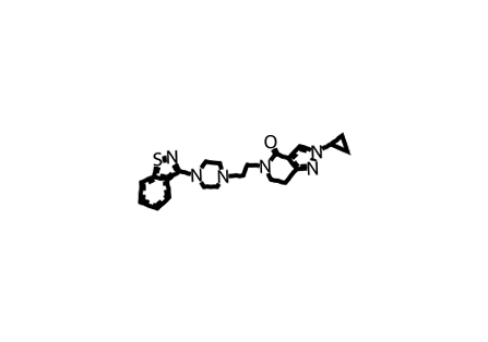 O=C1c2cn(C3CC3)nc2CCN1CCN1CCN(c2nsc3ccccc23)CC1